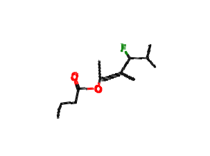 CCCC(=O)O/C(C)=C(\C)C(F)C(C)C